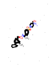 C/C(=N\OCc1ccc(C2CCCCC2)c(C(F)(F)F)c1)c1ccc(S(=O)(=O)N2CCC(N)(CO)CC2)cc1